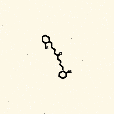 CCC1CCCCC1CCCCC(=O)CCCCC1CCCCC1CC